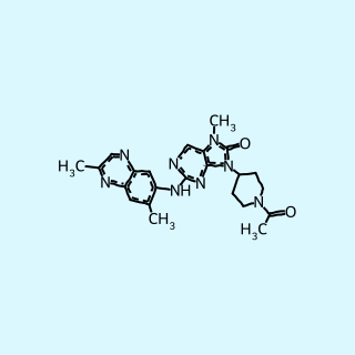 CC(=O)N1CCC(n2c(=O)n(C)c3cnc(Nc4cc5ncc(C)nc5cc4C)nc32)CC1